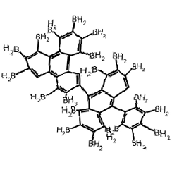 Bc1cc2c(-c3c(B)c(B)c(B)c(B)c3B)c3c(B)c(B)c(B)c(B)c3c(-c3cc4c(c(B)c3B)c3cc(B)c(B)c(B)c3c3c(B)c(B)c(B)c(B)c43)c2c(B)c1B